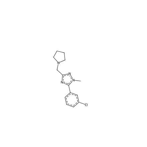 Cn1nc(CN2CCCC2)nc1-c1cccc(Cl)c1